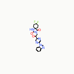 O=C(CN1C(=O)NC2(CCC(F)(F)CC2)C1=O)c1cnc(-n2cnc3ccccc32)cn1